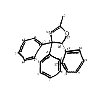 CC1=NC(c2ccccc2)(c2ccccc2)[C@@H](c2ccccc2)O1